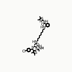 CC(=N)N1c2sc(C)c(C)c2C(c2ccc(Cl)cc2)=N[C@@H](CC(=O)NCCCCCCCCCNc2ccccc2C(=O)Nc2nc(C)c(C)s2)C1N